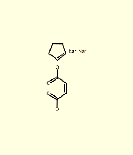 C1=CCCC1.O=C([O-])/C=C\C(=O)[O-].[Na+].[Na+]